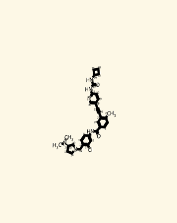 Cc1ccc(C(=O)Nc2ccc(CN3CC[C@@H](N(C)C)C3)c(Cl)c2)cc1C#Cc1ccc(NC(=O)NC2CCC2)nc1